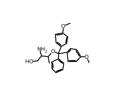 COc1ccc(C(OC(C)C(N)CO)(c2ccccc2)c2ccc(OC)cc2)cc1